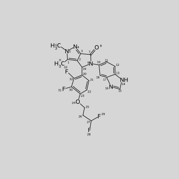 Cc1c2c(nn1C)C(=O)N(c1ccc3[nH]cnc3c1)C2c1ccc(OCCC(F)F)c(F)c1F